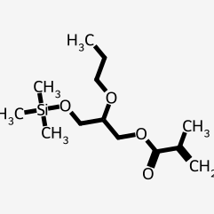 C=C(C)C(=O)OCC(CO[Si](C)(C)C)OCCC